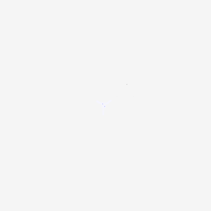 C1=CN(C2CC2)CCC1